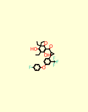 CCC1=C(O)C(CC)(CC)C(=O)C(C(=O)C2CC2c2ccc(Oc3ccc(F)cc3)cc2C(F)(F)F)=C1O